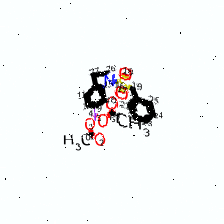 CC(=O)OI(OC(C)=O)c1ccc2c(c1)N(S(=O)(=O)Cc1ccccc1)CC2